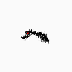 COC(=O)NC(C(=O)N1C2CCC(C2)C1c1ncc(-c2ccc(-c3ccc4cc(-c5cnc(C6CCCN6C(=O)O)[nH]5)ccc4c3)cc2)[nH]1)C(C)C